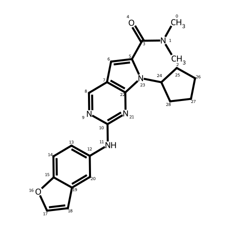 CN(C)C(=O)c1cc2cnc(Nc3ccc4occc4c3)nc2n1C1CCCC1